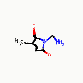 CC1=CC(=O)N(CN)C1=O